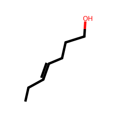 CCC=CCCCO